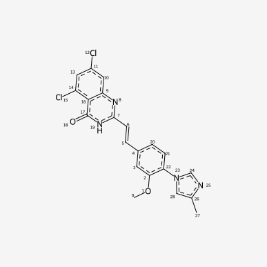 COc1cc(/C=C/c2nc3cc(Cl)cc(Cl)c3c(=O)[nH]2)ccc1-n1cnc(C)c1